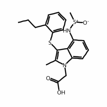 CCCc1ccccc1Sc1c(C)n(CC(=O)O)c2cccc(N[S+](C)[O-])c12